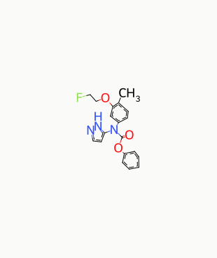 Cc1ccc(N(C(=O)Oc2ccccc2)c2ccn[nH]2)cc1OCCF